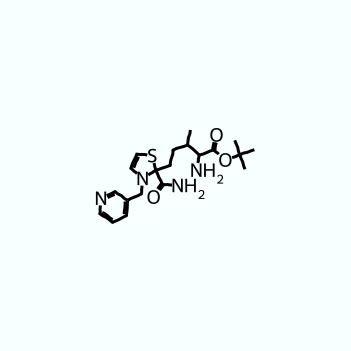 CC(CCC1(C(N)=O)SC=CN1Cc1cccnc1)C(N)C(=O)OC(C)(C)C